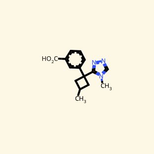 CC1CC(c2cccc(C(=O)O)c2)(c2nncn2C)C1